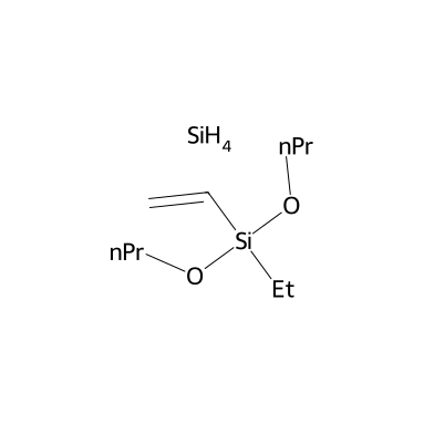 C=C[Si](CC)(OCCC)OCCC.[SiH4]